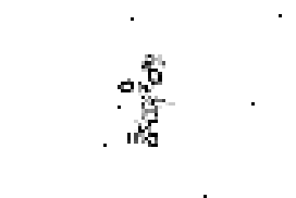 COc1cccc(CN(CCC[C@H]2CC(n3c(=O)[nH]c4ccccc43)CCN2C(=O)O)Cc2ccccc2)c1